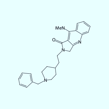 CNc1c2c(nc3ccccc13)CN(CCC1CCN(Cc3ccccc3)CC1)C2=O